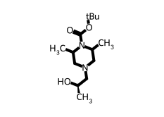 CC1CN(C[C@@H](C)O)CC(C)N1C(=O)OC(C)(C)C